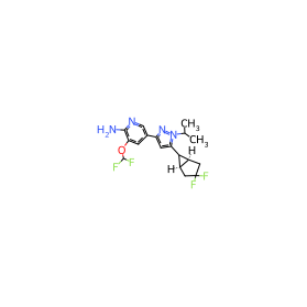 CC(C)n1nc(-c2cnc(N)c(OC(F)F)c2)cc1C1[C@H]2CC(F)(F)C[C@@H]12